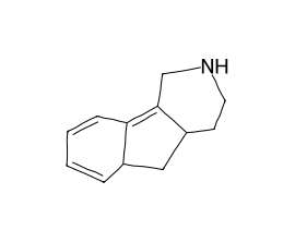 C1=CC2=C3CNCCC3CC2C=C1